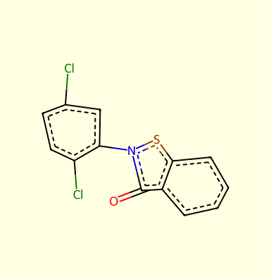 O=c1c2ccccc2sn1-c1cc(Cl)ccc1Cl